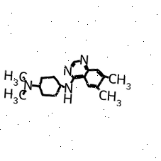 Cc1cc2ncnc(NC3CCC(N(C)C)CC3)c2cc1C